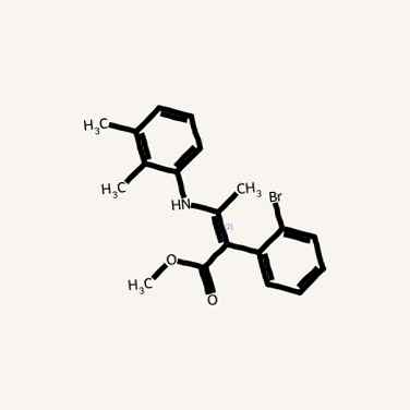 COC(=O)/C(=C(/C)Nc1cccc(C)c1C)c1ccccc1Br